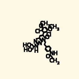 C=CC(=O)Nc1ccc(CCn2c(=O)c(-c3c(Cl)c(OC)cc(OC)c3Cl)cc3cnc(NC(CO)CO)nc32)cc1